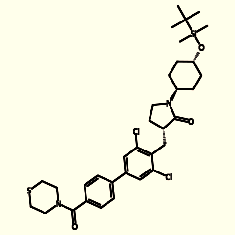 CC(C)(C)[Si](C)(C)O[C@H]1CC[C@H](N2CC[C@@H](Cc3c(Cl)cc(-c4ccc(C(=O)N5CCSCC5)cc4)cc3Cl)C2=O)CC1